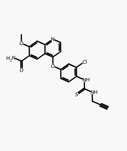 C#CCNC(=S)Nc1ccc(Oc2ccnc3cc(OC)c(C(N)=O)cc23)cc1Cl